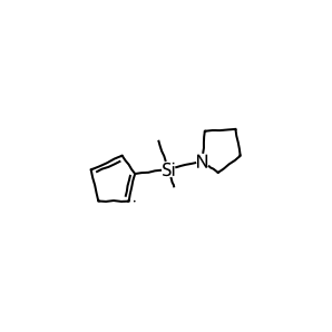 C[Si](C)(C1=[C]CC=C1)N1CCCC1